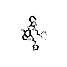 CN(C)CCNc1nn2ccccc2c1N=C1C=C(OCCn2ccnc2)c2[nH]ccc2C1=N